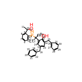 CCCC(CC)(Pc1ccccc1C(C)O)c1cc(Cc2ccccc2)cc(Cc2ccccc2)c1O